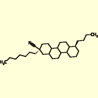 CCCCCCC[C@]1(C#N)CCC2C(CCC3C2CCC2C3CCC[C@@H]2CCCC)C1